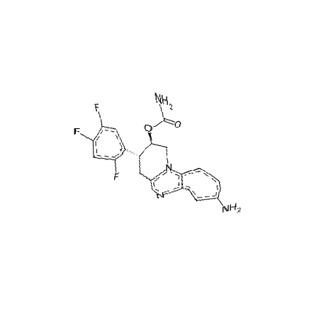 NC(=O)O[C@H]1Cn2c(nc3cc(N)ccc32)C[C@@H]1c1cc(F)c(F)cc1F